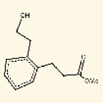 COC(=O)CCc1ccccc1CCO